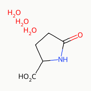 O.O.O.O=C1CCC(C(=O)O)N1